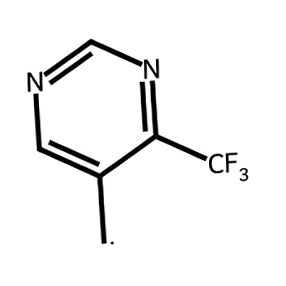 [CH2]c1cncnc1C(F)(F)F